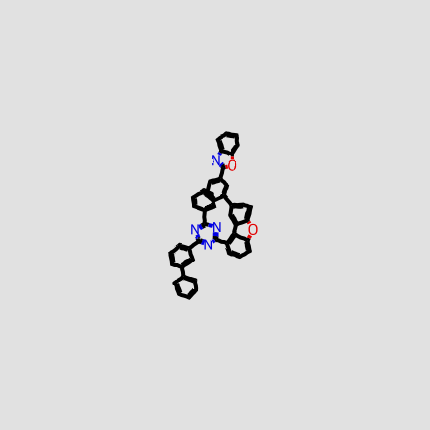 c1ccc(-c2cccc(-c3nc(-c4ccccc4)nc(-c4cccc5oc6ccc(-c7cccc(-c8nc9ccccc9o8)c7)cc6c45)n3)c2)cc1